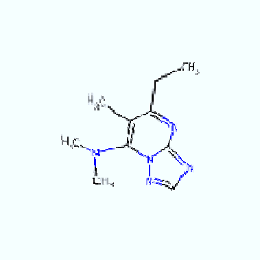 CCc1nc2ncnn2c(N(C)C)c1C